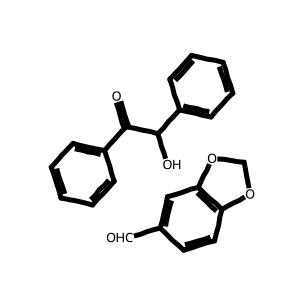 O=C(c1ccccc1)C(O)c1ccccc1.O=Cc1ccc2c(c1)OCO2